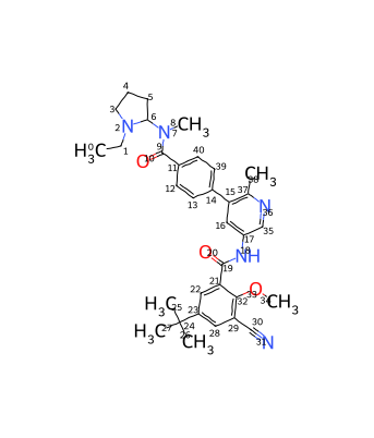 CCN1CCCC1N(C)C(=O)c1ccc(-c2cc(NC(=O)c3cc(C(C)(C)C)cc(C#N)c3OC)cnc2C)cc1